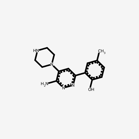 Cc1ccc(O)c(-c2cc(N3CCNCC3)c(N)nn2)c1